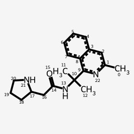 Cc1cc2ccccc2c(C(C)(C)NC(=O)CC2CCCN2)n1